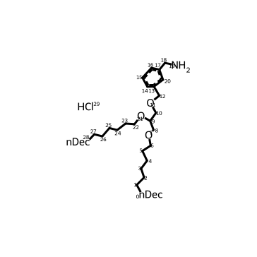 CCCCCCCCCCCCCCCCOCC(COCc1cccc(CN)c1)OCCCCCCCCCCCCCCCC.Cl